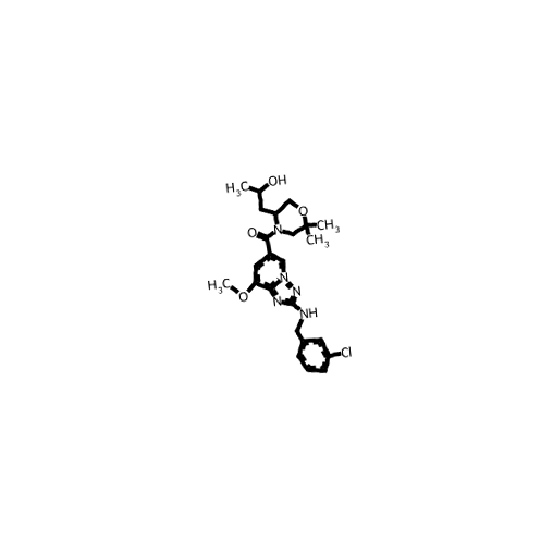 COc1cc(C(=O)N2CC(C)(C)OCC2CC(C)O)cn2nc(NCc3cccc(Cl)c3)nc12